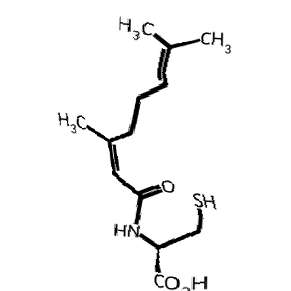 CC(C)=CCCC(C)=CC(=O)N[C@@H](CS)C(=O)O